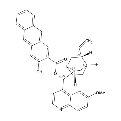 C=C[C@H]1CN2CC[C@H]1C[C@@H]2[C@@H](OC(=O)c1cc2cc3ccccc3cc2cc1O)c1ccnc2ccc(OC)cc12